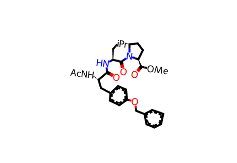 COC(=O)[C@@H]1CCCN1C(=O)[C@H](CC(C)C)NC(=O)[C@H](Cc1ccc(OCc2ccccc2)cc1)NC(C)=O